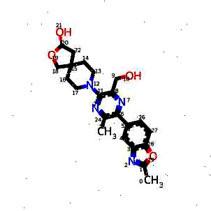 Cc1nc2cc(-c3nc(CO)c(N4CCC5(CC4)CO[C@@H](O)C5)nc3C)ccc2o1